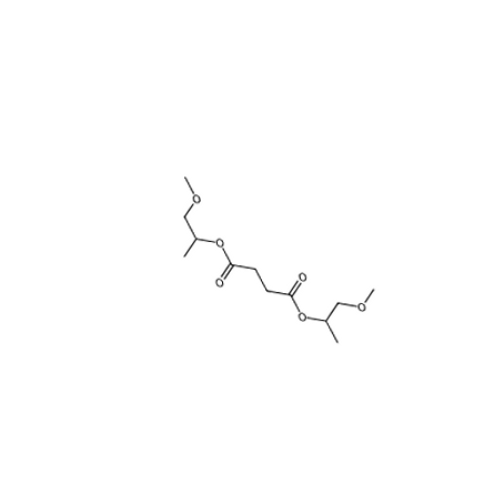 COCC(C)OC(=O)CCC(=O)OC(C)COC